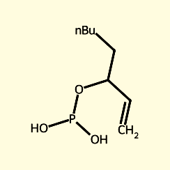 C=CC(CCCCC)OP(O)O